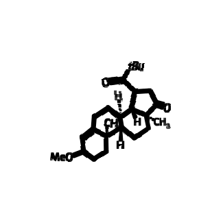 COC1C=C2CC[C@@H]3[C@H](CC[C@]4(C)C(=O)CC(C(=O)C(C)(C)C)[C@@H]34)[C@@]2(C)CC1